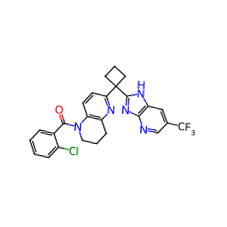 O=C(c1ccccc1Cl)N1CCCc2nc(C3(c4nc5ncc(C(F)(F)F)cc5[nH]4)CCC3)ccc21